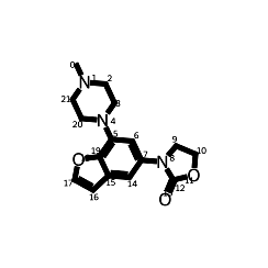 CN1CCN(c2cc(N3CCOC3=O)cc3ccoc23)CC1